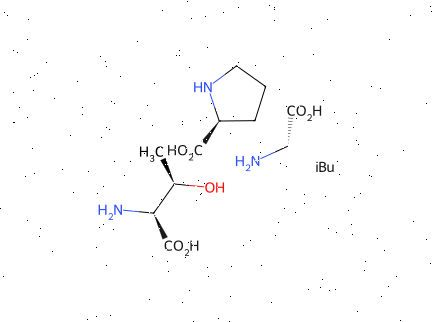 CC[C@H](C)[C@H](N)C(=O)O.C[C@@H](O)[C@H](N)C(=O)O.O=C(O)[C@@H]1CCCN1